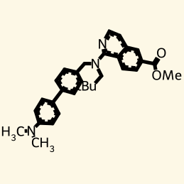 COC(=O)c1ccc2c(N(Cc3ccc(-c4ccc(N(C)C)cc4)cc3)CC(C)(C)C)nccc2c1